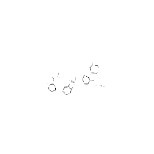 CNC(=O)c1cc(Oc2ccc3c(c2)nc(Nc2ccc(OCC(F)(F)F)c(-c4cncc(OC)c4)c2)n3C)ccn1